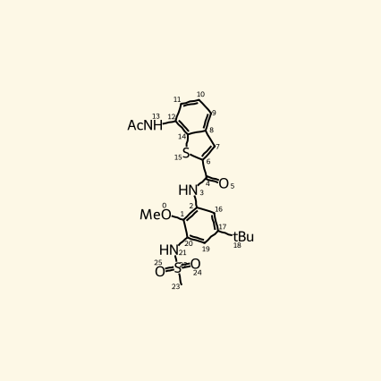 COc1c(NC(=O)c2cc3cccc(NC(C)=O)c3s2)cc(C(C)(C)C)cc1NS(C)(=O)=O